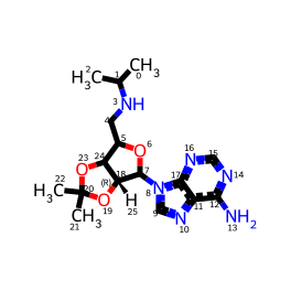 CC(C)NCC1OC(n2cnc3c(N)ncnc32)[C@@H]2OC(C)(C)OC12